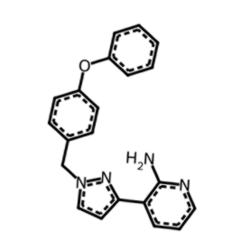 Nc1ncccc1-c1ccn(Cc2ccc(Oc3ccccc3)cc2)n1